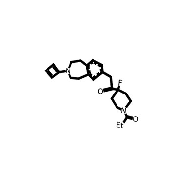 CCC(=O)N1CCC(F)(C(=O)Cc2ccc3c(c2)CCN(C2=CC=C2)CC3)CC1